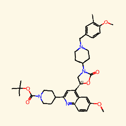 COc1ccc2nc(C3CCN(C(=O)OC(C)(C)C)CC3)cc([C@H]3CN(C4CCN(Cc5ccc(OC)c(C)c5)CC4)C(=O)O3)c2c1